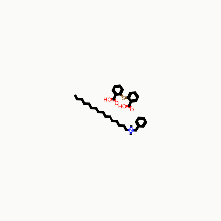 CCCCCCCCCCCCCCCC[N+](C)(C)Cc1ccccc1.O=C(O)c1ccccc1Sc1ccccc1C(=O)O